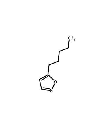 CCCCCc1ccno1